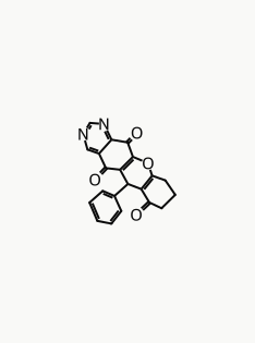 O=C1CCCC2=C1C(c1ccccc1)C1=C(O2)C(=O)c2ncncc2C1=O